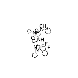 CN(C(=O)C[C@@H](NC(=O)c1cc(-c2ccccc2C(F)(F)F)n(C2CCCC2)n1)C(=O)NC1CCC1)C1CCCCC1